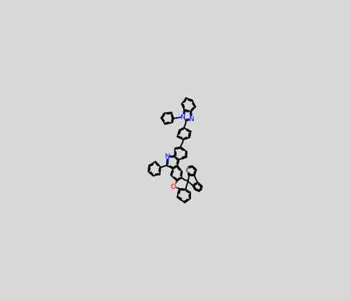 c1ccc(-c2nc3cc(-c4ccc(-c5nc6ccccc6n5-c5ccccc5)cc4)ccc3c3cc4c(cc23)Oc2ccccc2C42c3ccccc3-c3ccccc32)cc1